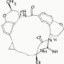 CC[C@]12CCC3CC3c3ccc4c(c3)[C@H](C[C@H](C)O4)NC(=O)c3ccc4c(c3)[C@@H](CCO4)N(C(=N)N1)C(=O)C2